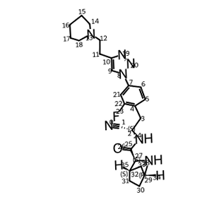 N#C[C@H](Cc1ccc(-n2cc(CCN3CCCCC3)nn2)cc1F)NC(=O)[C@H]1N[C@@H]2CC[C@H]1C2